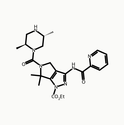 CCOC(=O)n1nc(NC(=O)c2ccccn2)c2c1C(C)(C)N(C(=O)N1C[C@@H](C)NC[C@@H]1C)C2